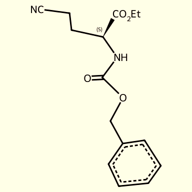 CCOC(=O)[C@H](CCC#N)NC(=O)OCc1ccccc1